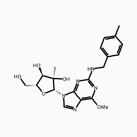 COc1nc(NCc2ccc(C)cc2)nc2c1ncn2[C@@H]1O[C@H](CO)[C@@H](O)[C@@]1(C)O